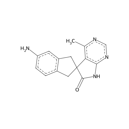 Cc1ncnc2c1C1(Cc3ccc(N)cc3C1)C(=O)N2